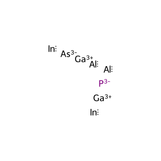 [Al].[Al].[As-3].[Ga+3].[Ga+3].[In].[In].[P-3]